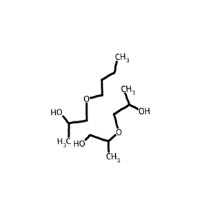 CC(O)COC(C)CO.CCCCOCC(C)O